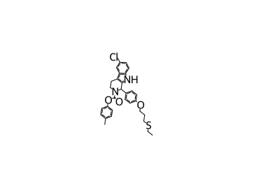 CCSCCCOc1ccc(C2c3[nH]c4ccc(Cl)cc4c3CCN2C(=O)Oc2ccc(C)cc2)cc1